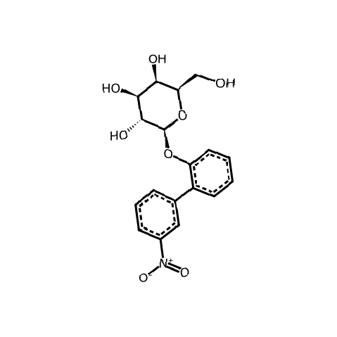 O=[N+]([O-])c1cccc(-c2ccccc2O[C@@H]2O[C@H](CO)[C@H](O)[C@H](O)[C@H]2O)c1